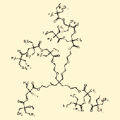 CCC(C)(CC)C(=O)OCC(C)(CC)C(=O)OCCOCC(COCCOCCOC(=O)C(C)(COC(=O)C(C)(CC)CC)COC(=O)C(C)(CC)COC(=O)C(C)(CC)CC)(COCCOC(=O)C(C)(COC(=O)C(C)(CC)CC)COC(=O)C(C)(CC)CC)COCCOC(=O)C(C)(CC)COC(=O)C(CC)(CC)COC(=O)C(C)(CC)CC